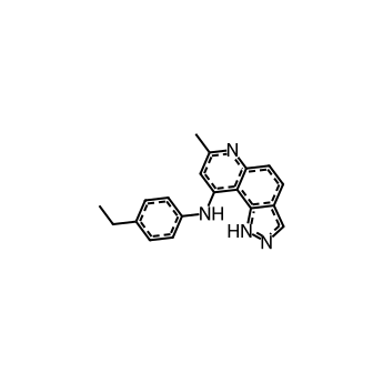 CCc1ccc(Nc2cc(C)nc3ccc4cn[nH]c4c23)cc1